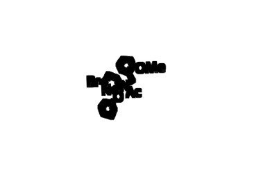 COc1ccccc1CN(C(C)=O)c1ccc(Br)nc1Oc1ccccc1